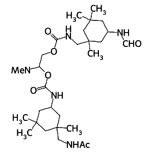 CNC(COC(=O)NCC1(C)CC(NC=O)CC(C)(C)C1)OC(=O)NC1CC(C)(C)CC(C)(CNC(C)=O)C1